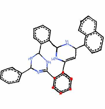 C1=C(c2ccccc2)NC(c2ccccc2C2NC(c3ccccc3)=NC(c3ccccc3)N2)NC1c1cccc2ccccc12